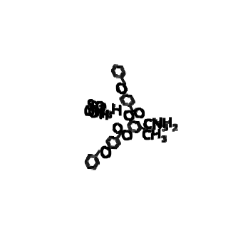 CC(C)(CN)c1cc(OC(=O)c2ccc(OCc3ccccc3)cc2)cc(OC(=O)c2ccc(OCc3ccccc3)cc2)c1.CCO.O=S(=O)(O)O